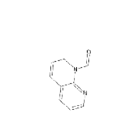 O=CN1CC=Cc2cccnc21